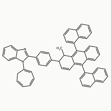 CC1c2c(c(-c3cccc4ccccc34)c3ccccc3c2-c2cccc3ccccc23)C=CC1c1ccc(-c2nc3ccccc3n2C2=CC=CC=CC2)cc1